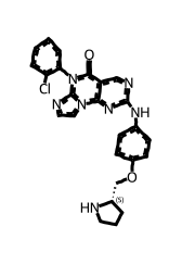 O=c1c2cnc(Nc3ccc(OC[C@@H]4CCCN4)cc3)nc2n2ccnc2n1-c1ccccc1Cl